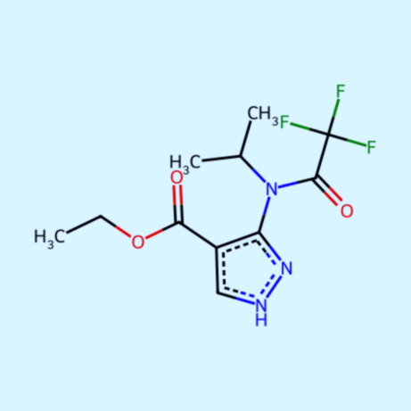 CCOC(=O)c1c[nH]nc1N(C(=O)C(F)(F)F)C(C)C